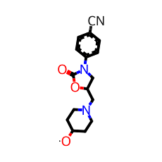 N#Cc1ccc(N2CC(CN3CCC([O])CC3)OC2=O)cc1